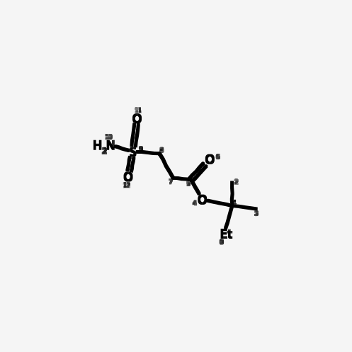 CCC(C)(C)OC(=O)CCS(N)(=O)=O